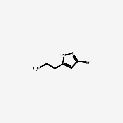 NCCc1cc(Br)n[nH]1